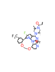 C=CC(=O)N1C[C@H](C)N(c2nc(=O)n3c4nc(c(F)cc24)-c2cc(C(F)(F)F)ccc2OCCOc2ccnc(C(C)C)c2-3)C[C@H]1C